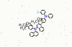 CC1(C)c2cc(N(c3ccccc3)c3cccc(F)c3)ccc2-c2c1cc(N(c1ccc([Si](C)(C)C)cc1)c1cccc3ccccc13)c1ccccc21